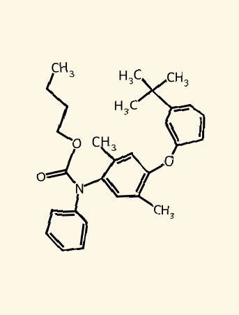 CCCCOC(=O)N(c1ccccc1)c1cc(C)c(Oc2cccc(C(C)(C)C)c2)cc1C